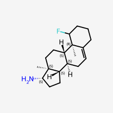 C[C@]12CC[C@H]3[C@@H](CC=C4CCCC(F)[C@@]43C)[C@@H]1CC[C@@H]2N